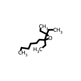 CCCCCCC1(CC)OC1(CC)CC